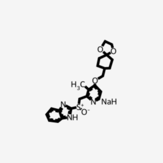 Cc1c(OCC2CCC3(CC2)OCCO3)ccnc1C[S+]([O-])c1nc2ccccc2[nH]1.[NaH]